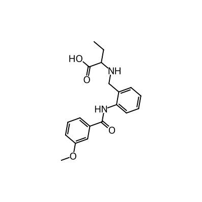 CCC(NCc1ccccc1NC(=O)c1cccc(OC)c1)C(=O)O